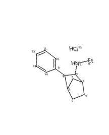 CCNC1C2CCC(C2)C1c1ccccc1.Cl